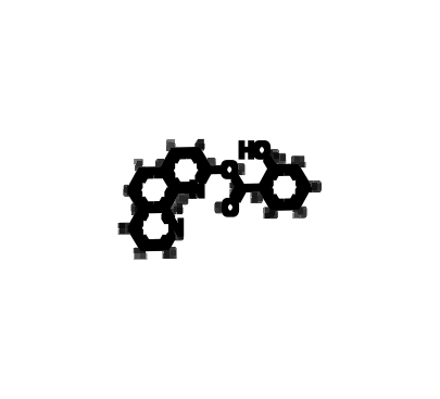 O=C(Oc1ccc2ccc3cccnc3c2n1)c1ccccc1O